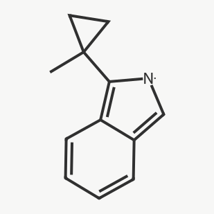 CC1(C2=c3ccccc3=C[N]2)CC1